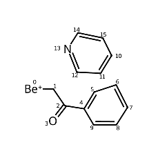 [Be+][CH2]C(=O)c1ccccc1.c1ccncc1